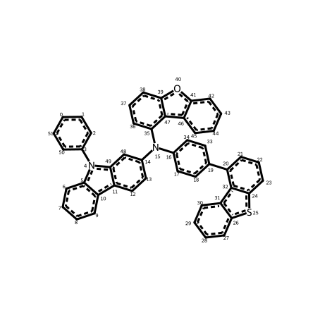 c1ccc(-n2c3ccccc3c3ccc(N(c4ccc(-c5cccc6sc7ccccc7c56)cc4)c4cccc5oc6ccccc6c45)cc32)cc1